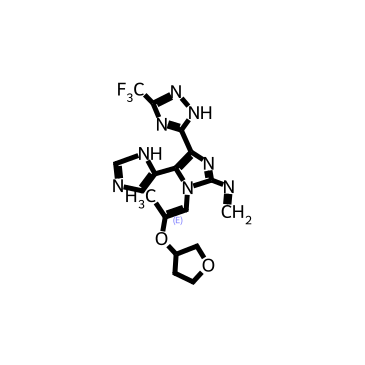 C=Nc1nc(-c2nc(C(F)(F)F)n[nH]2)c(-c2cnc[nH]2)n1/C=C(\C)OC1CCOC1